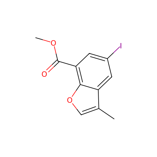 COC(=O)c1cc(I)cc2c(C)coc12